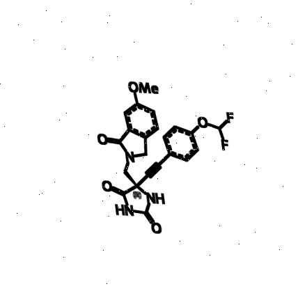 COc1ccc2c(c1)C(=O)N(C[C@@]1(C#Cc3ccc(OC(F)F)cc3)NC(=O)NC1=O)C2